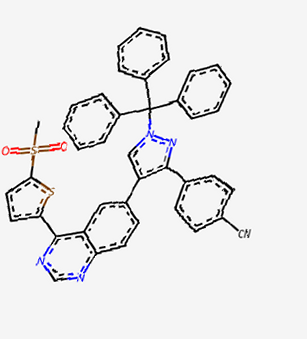 CS(=O)(=O)c1ccc(-c2ncnc3ccc(-c4cn(C(c5ccccc5)(c5ccccc5)c5ccccc5)nc4-c4ccc(C#N)cc4)cc23)s1